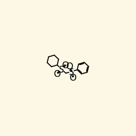 O=S(=O)(CS(=O)(=O)C1CCCCC1)c1ccccc1